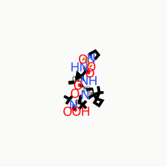 C=C[C@@H]1C[C@]1(NC(=O)[C@@H]1C[C@@]2(CN1C(=O)[C@@H](N(C(=O)O)C(C)(C)C)C(C)(C)C)C(C)(C)C21CCC1)C(=O)NS(=O)(=O)N1CCCC1